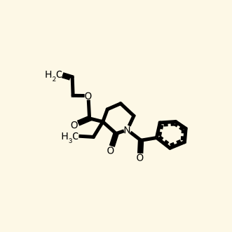 C=CCOC(=O)C1(CC)CCCN(C(=O)c2ccccc2)C1=O